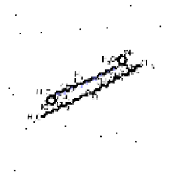 CC1=C[C@H](O)CC(C)(C)[C@H]1/C=C/C(C)=C/C=C/C(C)=C/C=C/C=C(C)/C=C/C=C(C)/C=C/C1=C(C)C[C@@H](O)CC1(C)C.CCCCCCCCCCCCCCCC(=O)OCCCCCCCCCCCCCC